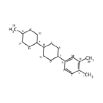 Cc1ccc(C2CCC(C3CCC(C)CC3)CC2)cc1C